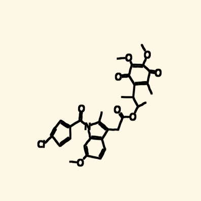 COC1=C(OC)C(=O)C(C(C)C(C)OC(=O)Cc2c(C)n(C(=O)c3ccc(Cl)cc3)c3cc(OC)ccc23)=C(C)C1=O